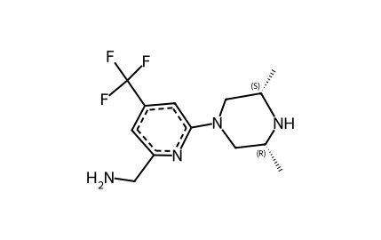 C[C@@H]1CN(c2cc(C(F)(F)F)cc(CN)n2)C[C@H](C)N1